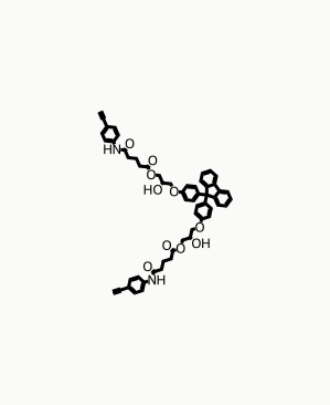 C#Cc1ccc(NC(=O)CCCC(=O)OCC(O)COc2ccc(C3(c4ccc(OCC(O)COC(=O)CCCC(=O)Nc5ccc(C#C)cc5)cc4)c4ccccc4-c4ccccc43)cc2)cc1